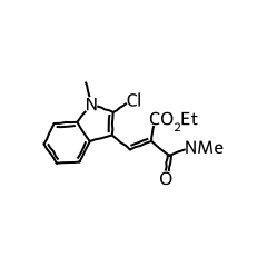 CCOC(=O)C(=Cc1c(Cl)n(C)c2ccccc12)C(=O)NC